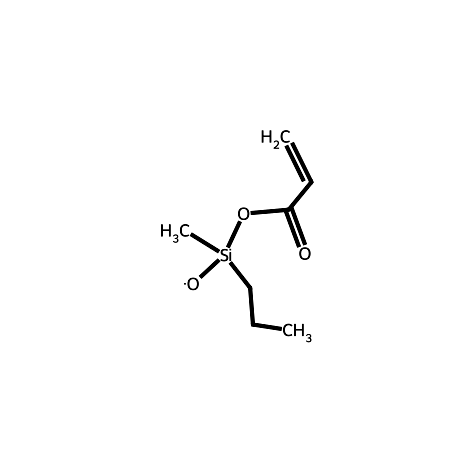 C=CC(=O)O[Si](C)([O])CCC